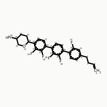 C=CCCc1ccc(-c2ccc(-c3ccc(C4CCC(CCC)CO4)c(F)c3F)c(F)c2F)c(F)c1